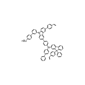 C=Cc1ccc(-c2ccc3c(c2)c2cc(-c4ccc(N(c5ccc(-c6ccccc6)cc5)c5ccc6c(c5)C(c5ccccc5)(c5ccc(C=C)cc5)c5ccccc5-6)cc4)ccc2n3-c2cccc(-c3ccc(CCCC)cc3)c2)cc1